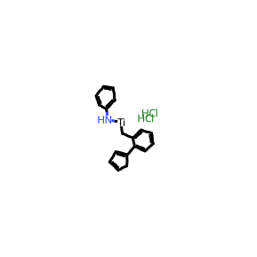 C1=CCC(c2ccccc2[CH2][Ti][NH]c2ccccc2)=C1.Cl.Cl